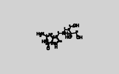 Nc1nc2c(CNCC(CO)C(O)CO)c[nH]c2c(=O)[nH]1